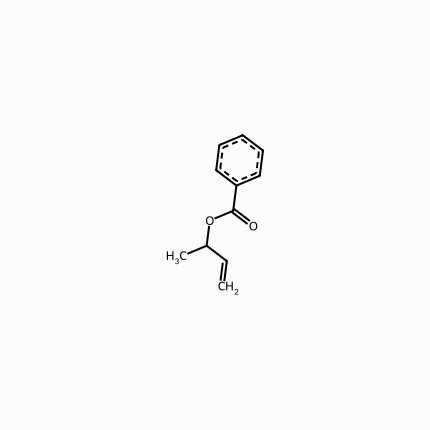 C=CC(C)OC(=O)c1ccccc1